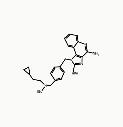 CCCCc1nc2c(N)nc3ccccc3c2n1Cc1ccc(CN(CCC2CC2)C(C)(C)C)cc1